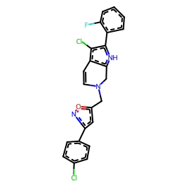 Fc1ccccc1-c1[nH]c2c(c1Cl)C=CN(Cc1cc(-c3ccc(Cl)cc3)no1)C2